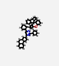 C1=CC2c3ccccc3C3(c4ccccc4Oc4ccc(-c5ccccc5-c5cc(-c6ccc7c(ccc8ccccc87)c6)nc(-c6ccccc6)n5)cc43)C2C=C1